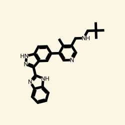 Cc1c(CNCC(C)(C)C)cncc1-c1ccc2[nH]nc(-c3nc4ccccc4[nH]3)c2c1